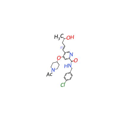 CC(=O)N1CCC(Oc2cc(C(=O)NCc3ccc(Cl)cc3)ncc2/C=C/CC(C)O)CC1